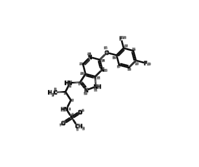 CC(CNS(C)(=O)=O)Nc1n[nH]c2nc(Oc3ccc(F)cc3F)ncc12